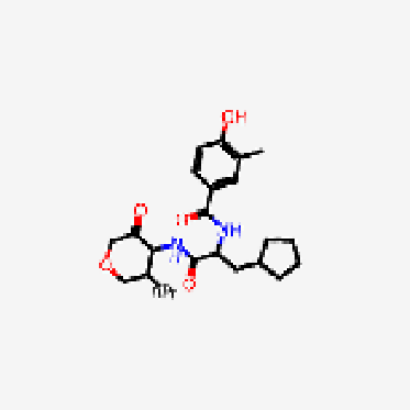 CCCC1COCC(=O)C1NC(=O)C(CC1CCCC1)NC(=O)c1ccc(O)c(C)c1